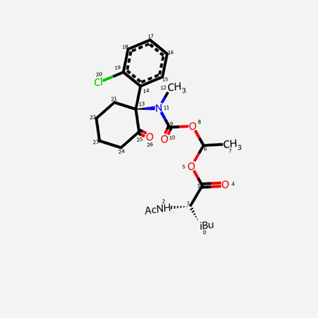 CC[C@@H](C)[C@H](NC(C)=O)C(=O)OC(C)OC(=O)N(C)[C@]1(c2ccccc2Cl)CCCCC1=O